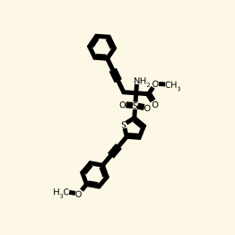 COC(=O)C(N)(CC#Cc1ccccc1)S(=O)(=O)c1ccc(C#Cc2ccc(OC)cc2)s1